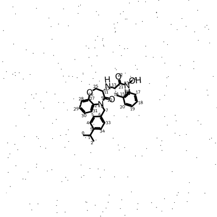 CC(C)c1ccc(CN2C(=O)[C@@H](N[C@@H](Cc3ccccc3)C(=O)NO)COc3ccccc32)cc1